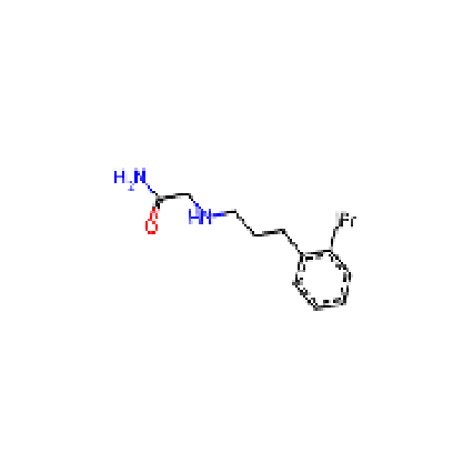 CC(C)c1ccccc1CCCNCC(N)=O